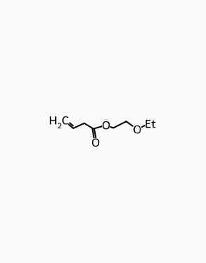 C=CCC(=O)OCCOCC